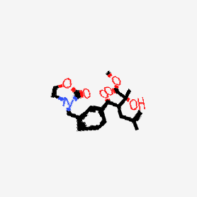 COC(=O)C(C)(O)C(CC(C)C)C(=O)c1cccc(CN2CCOC2=O)c1